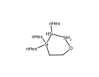 CCCCCC[SiH]1[SiH2]OCC[Si]1(CCCCCC)CCCCCC